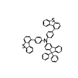 c1ccc(C2(c3ccccc3)c3ccccc3-c3cc(N(c4ccc(-c5cccc6sc7ccccc7c56)cc4)c4ccc(-c5cccc6sc7ccccc7c56)cc4)ccc32)cc1